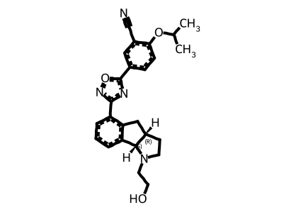 CC(C)Oc1ccc(-c2nc(-c3cccc4c3C[C@@H]3CCN(CCO)[C@H]43)no2)cc1C#N